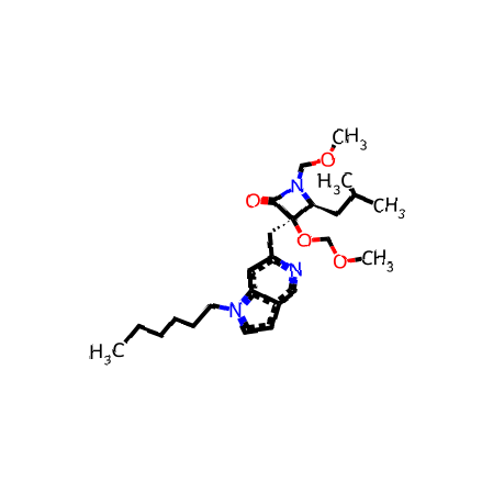 CCCCCCn1ccc2cnc(C[C@]3(OCOC)C(=O)N(COC)[C@H]3CC(C)C)cc21